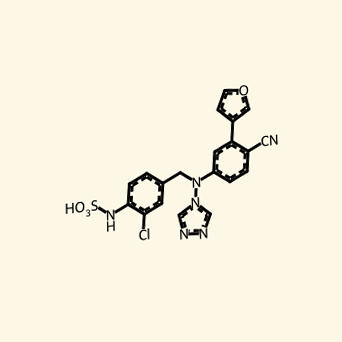 N#Cc1ccc(N(Cc2ccc(NS(=O)(=O)O)c(Cl)c2)n2cnnc2)cc1-c1ccoc1